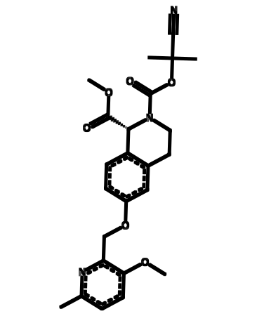 COC(=O)[C@H]1c2ccc(OCc3nc(C)ccc3OC)cc2CCN1C(=O)OC(C)(C)C#N